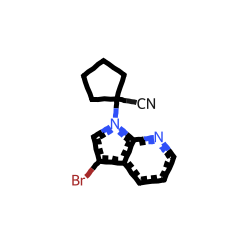 N#CC1(n2cc(Br)c3cccnc32)CCCC1